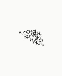 Cc1cccc(-c2c(-c3ccncc3)nc(NCC(C)(C)C(N)c3ccccc3)n(C)c2=O)c1.Cl